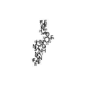 Cc1nsc(Nc2cnc(C(F)(F)F)cn2)c1C(=O)Nc1ccc(F)c(O[C@H]2CCN(CC(F)(F)F)C2)c1